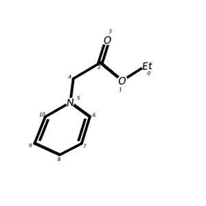 CCOC(=O)CN1C=CCC=C1